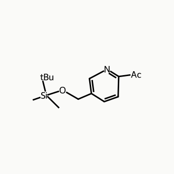 CC(=O)c1ccc(CO[Si](C)(C)C(C)(C)C)cn1